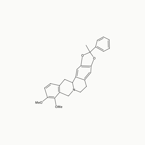 COc1ccc2c(c1OC)CN1CCc3cc4c(cc3C1C2)OC(C)(c1ccccc1)O4